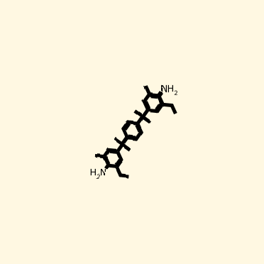 CCc1cc(C(C)(C)c2ccc(C(C)(C)c3cc(C)c(N)c(CC)c3)cc2)cc(C)c1N